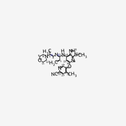 C=C/C(=N\C=C(/C)N1CCOCC1)Nc1cc(Oc2cnc(C#N)cc2C)nc2c1ncn2C